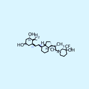 C=C1/C(=C\C=C2/CCC[C@]3(C)[C@@H]([C@H](C)CN4CCCC(O)(C(F)(F)F)C4)CC[C@@H]23)C[C@@H](O)C[C@@H]1O